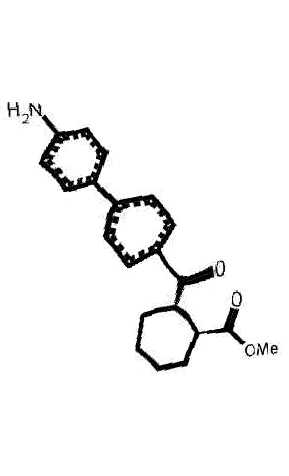 COC(=O)[C@H]1CCCC[C@H]1C(=O)c1ccc(-c2ccc(N)cc2)cc1